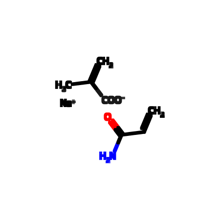 C=C(C)C(=O)[O-].C=CC(N)=O.[Na+]